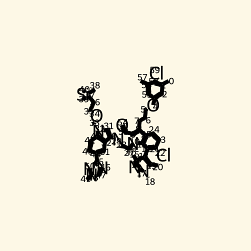 Cc1cc(OCCCc2c3n(c4c(-c5c(C)nn(C)c5C)c(Cl)ccc24)[C@H](C)CN(c2cn(COCC[Si](C)(C)C)c4ccc(-c5ncn(C)n5)cc24)C3=O)cc(C)c1Cl